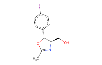 CC1=N[C@H](CO)[C@@H](c2ccc(I)cc2)O1